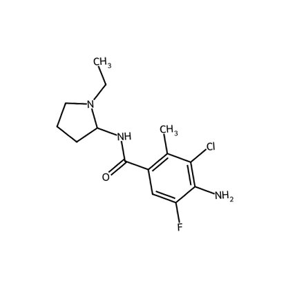 CCN1CCCC1NC(=O)c1cc(F)c(N)c(Cl)c1C